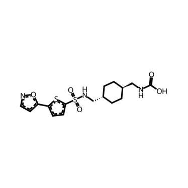 O=C(O)NC[C@H]1CC[C@H](CNS(=O)(=O)c2ccc(-c3ccno3)s2)CC1